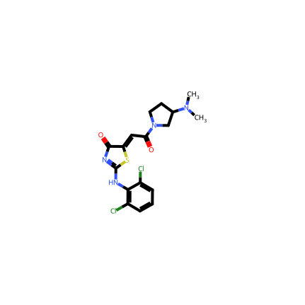 CN(C)C1CCN(C(=O)/C=C2\SC(Nc3c(Cl)cccc3Cl)=NC2=O)C1